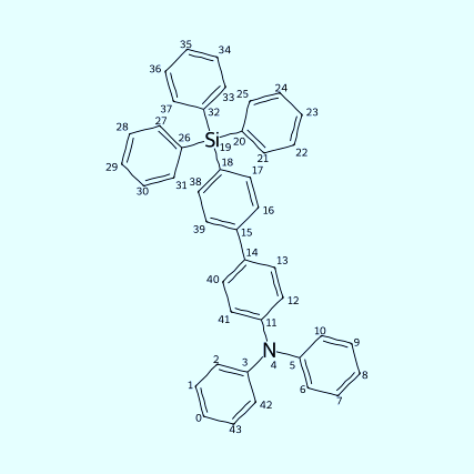 c1ccc(N(c2ccccc2)c2ccc(-c3ccc([Si](c4ccccc4)(c4ccccc4)c4ccccc4)cc3)cc2)cc1